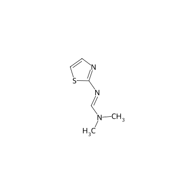 CN(C)C=Nc1nccs1